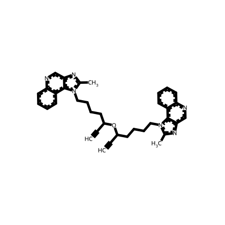 C#CC(CCCCn1c(C)nc2cnc3ccccc3c21)OC(C#C)CCCCn1c(C)nc2cnc3ccccc3c21